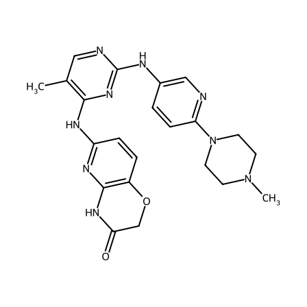 Cc1cnc(Nc2ccc(N3CCN(C)CC3)nc2)nc1Nc1ccc2c(n1)NC(=O)CO2